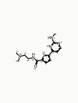 CNc1nccc(-c2ccc(C(=O)NCCN(C)C)s2)n1